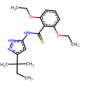 CCOc1cccc(OCC)c1C(=S)Nc1cc(C(C)(C)CC)n[nH]1